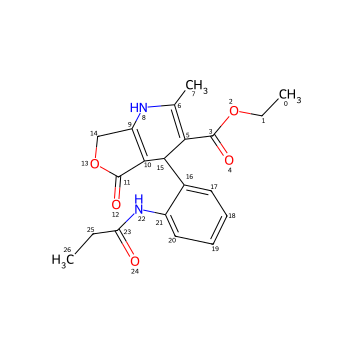 CCOC(=O)C1=C(C)NC2=C(C(=O)OC2)C1c1ccccc1NC(=O)CC